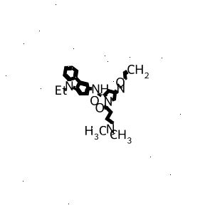 C=CCO/N=C1\C[C@@H](C(=O)Nc2ccc3c(c2)c2ccccc2n3CC)N(C(=O)CCCN(C)C)C1